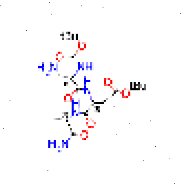 C[C@H](NC(=O)[C@H](CC(=O)OC(C)(C)C)NC(=O)[C@H](CN)NC(=O)OC(C)(C)C)C(N)=O